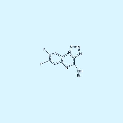 CCNc1nc2cc(F)c(F)cc2n2cnnc12